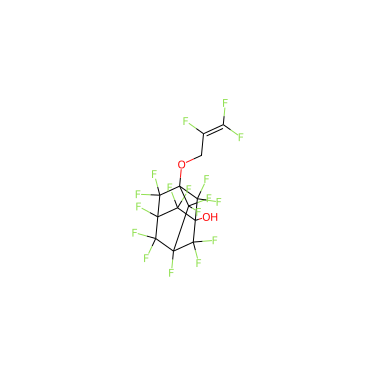 OC12C(F)(F)C3(F)C(F)(F)C(F)(C1(F)F)C(F)(F)C(OCC(F)=C(F)F)(C2(F)F)C3(F)F